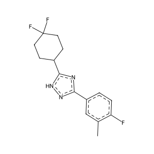 Cc1cc(-c2n[nH]c(C3CCC(F)(F)CC3)n2)ccc1F